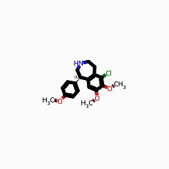 COc1ccc([C@@H]2CNCCc3c2cc(OC)c(OC)c3Cl)cc1